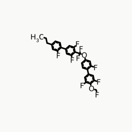 CCCc1ccc(-c2cc(F)c(C(F)(F)Oc3ccc(-c4cc(F)c(OCF)c(F)c4)c(F)c3)c(F)c2)c(F)c1